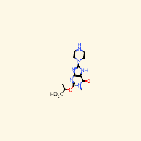 CC(Oc1nc2nc(N3CCNCC3)[nH]c2c(=O)n1C)C(=O)O